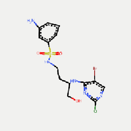 Nc1cccc(S(=O)(=O)NCCC(CO)Nc2nc(Cl)ncc2Br)c1